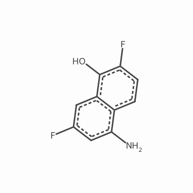 Nc1cc(F)cc2c(O)c(F)ccc12